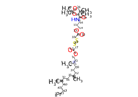 C/C(=C\COC(=O)CSSCC(=O)OCCCNC(=O)C1OC(C)(C)OCC1(C)C)CCC[C@@H](C)CCC[C@@H](C)CCCC(C)C